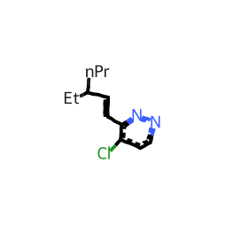 CCCC(/C=C/c1nnccc1Cl)CC